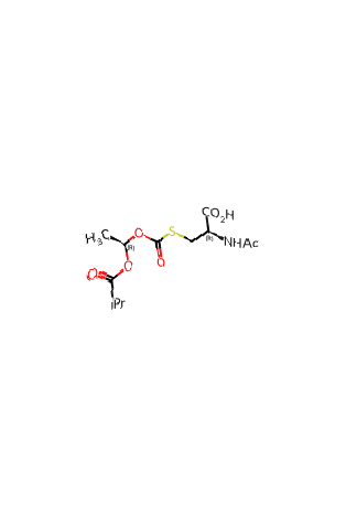 CC(=O)N[C@@H](CSC(=O)O[C@H](C)OC(=O)C(C)C)C(=O)O